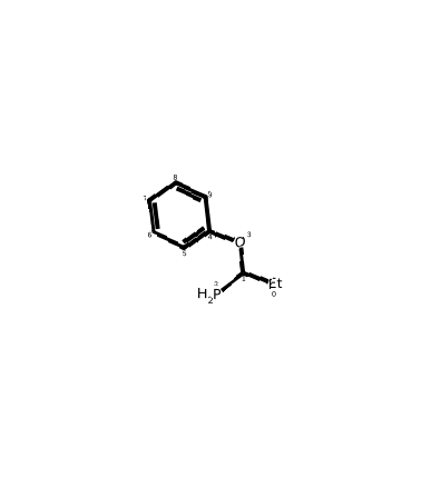 CCC(P)Oc1ccccc1